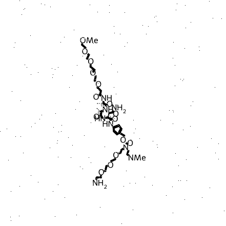 CNCCN(CCOCCOCCOCCN)C(=O)OCc1ccc(NC(=O)[C@H](CC(N)=O)NC(=O)[C@H](C)NC(=O)[C@H](C)NC(=O)CCOCCOCCOCCOCCOC)cc1